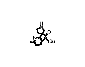 Cc1ccc2c(n1)C1(CCNC1)C(=O)N2C(C)(C)C